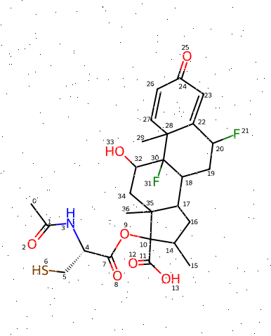 CC(=O)N[C@@H](CS)C(=O)OC1(C(=O)O)C(C)CC2C3CC(F)C4=CC(=O)C=CC4(C)C3(F)C(O)CC21C